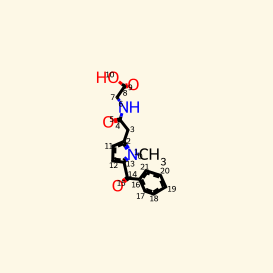 Cn1c(CC(=O)NCC(=O)O)ccc1C(=O)c1ccccc1